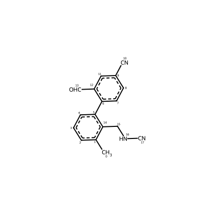 Cc1cccc(-c2ccc(C#N)cc2C=O)c1CNC#N